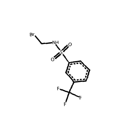 O=S(=O)(N[CH]Br)c1cccc(C(F)(F)F)c1